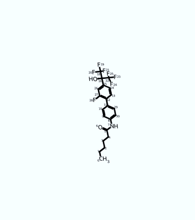 CCCCCC(=O)Nc1ccc(-c2ccc(C(O)(C(F)(F)F)C(F)(F)F)cc2F)cc1